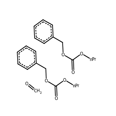 C=O.CCCOC(=O)OCc1ccccc1.CCCOC(=O)OCc1ccccc1